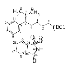 CCCCCCCCCCCCCCC(c1ccccc1)N(C)C.O=C1NS(=O)(=O)c2ccccc21